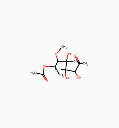 COC(C(C)OC(C)=O)C(C)(O)C(C)(O)C(O)C(C)=O